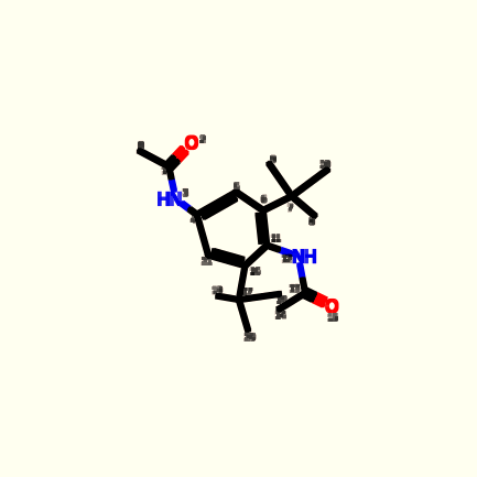 CC(=O)Nc1cc(C(C)(C)C)c(NC(C)=O)c(C(C)(C)C)c1